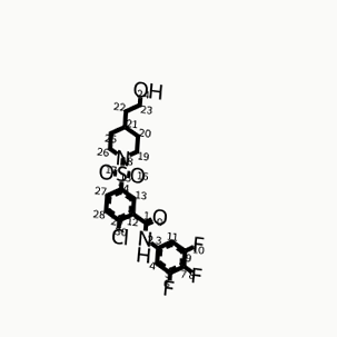 O=C(Nc1cc(F)c(F)c(F)c1)c1cc(S(=O)(=O)N2CCC(CCO)CC2)ccc1Cl